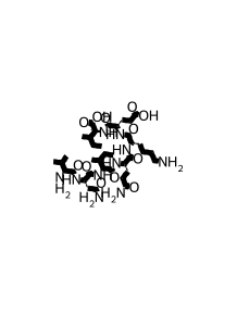 CCC(C)[C@H](NC(=O)[C@H](CCC(=O)O)NC(=O)[C@H](CCCCN)NC(=O)[C@H](CCC(N)=O)NC(=O)[C@@H](NC(=O)[C@H](CC(N)=O)NC(=O)[C@@H](N)C(C)C)C(C)CC)C(=O)O